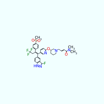 CN(C)C(=O)/C=C/CN1CCC[C@@H](Oc2ccc(/C(=C(/CC(F)(F)F)c3ccc(S(C)(=O)=O)cc3)c3ccc4[nH]nc(F)c4c3)cn2)C1